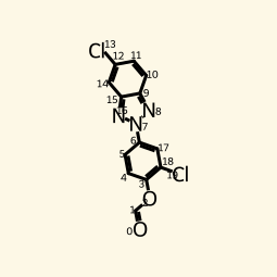 O=COc1ccc(-n2nc3ccc(Cl)cc3n2)cc1Cl